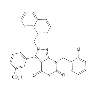 Cn1c(=O)c2c(-c3cccc(C(=O)O)c3)n(Cc3cccc4ccccc34)nc2n(Cc2ccccc2Cl)c1=O